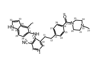 Cc1c(Nc2c(C#N)cncc2CCc2ccc(C(=O)N3CCN(C)CC3)cc2)ccc2[nH]ccc12